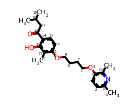 Cc1ccc(OCCCCOc2ccc(C(=O)CC(C)C)c(O)c2C)c(C)n1